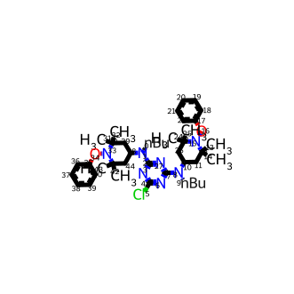 CCCCN(c1nc(Cl)nc(N(CCCC)C2CC(C)(C)N(Oc3ccccc3)C(C)(C)C2)n1)C1CC(C)(C)N(Oc2ccccc2)C(C)(C)C1